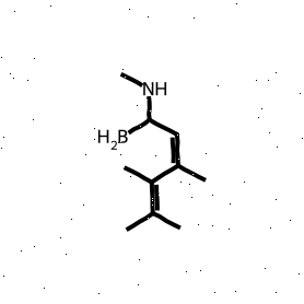 BC(/C=C(/C)C(C)=C(C)C)NC